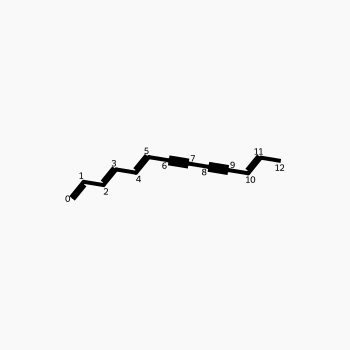 C=CC=CC=CC#CC#CC=CC